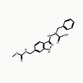 COC(=O)NCc1ccc2c(N[C@@H](Cc3ccccc3)C(=O)O)n[nH]c2c1